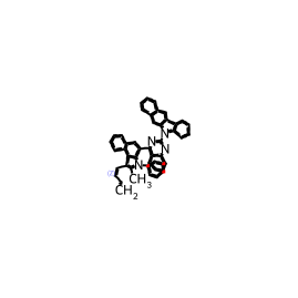 C=C/C=C\c1c(C)n(-c2ccccc2)c2c(-c3nc(-n4c5ccccc5c5cc6ccccc6cc54)nc4ccccc34)cc3ccccc3c12